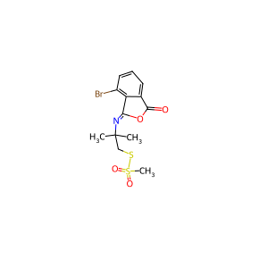 CC(C)(CSS(C)(=O)=O)N=C1OC(=O)c2cccc(Br)c21